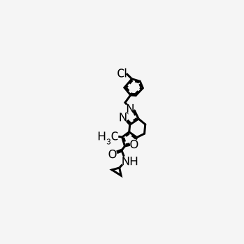 Cc1c(C(=O)NC2CC2)oc2c1-c1nn(Cc3cccc(Cl)c3)cc1CC2